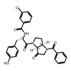 O=C(N[C@@H](Cc1ccc(O)cc1)C(=O)N1CC[C@@H]2[C@H]1C(=O)CN2C(=O)c1ccccc1)c1cccc(Cl)c1